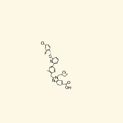 Cc1cc(-c2cccc(OCc3ccc(Cl)cc3F)n2)ccc1Cc1nc2ccc(C(=O)O)cc2n1CC1CCO1